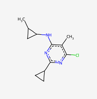 Cc1c(Cl)nc(C2CC2)nc1NC1CC1C